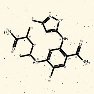 Cc1cc(Nc2cc(NC(C)CC(C)C(N)=O)c(F)cc2C(N)=O)sn1